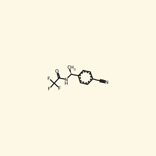 C[C@H](NC(=O)C(F)(F)F)c1ccc(C#N)cc1